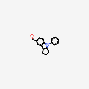 O=Cc1ccc2c(c1)c1c(n2-c2ccccc2)CCC1